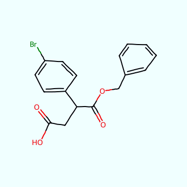 O=C(O)CC(C(=O)OCc1ccccc1)c1ccc(Br)cc1